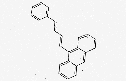 C(C=Cc1c2ccccc2cc2ccccc12)=Cc1ccccc1